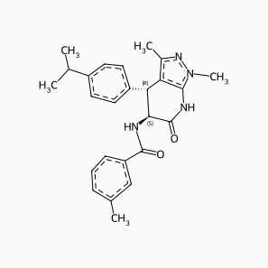 Cc1cccc(C(=O)N[C@@H]2C(=O)Nc3c(c(C)nn3C)[C@H]2c2ccc(C(C)C)cc2)c1